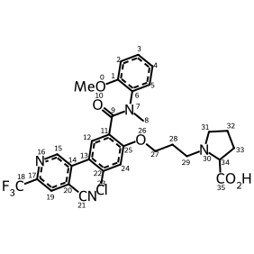 COc1ccccc1N(C)C(=O)c1cc(-c2cnc(C(F)(F)F)cc2C#N)c(Cl)cc1OCCCN1CCCC1C(=O)O